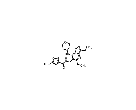 CCc1nc2c(cnn2CC)c(NC2CCOCC2)c1CNC(=O)c1cc(C)on1